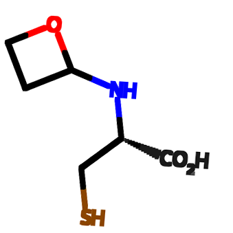 O=C(O)[C@H](CS)NC1CCO1